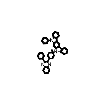 CC1(Nc2cc3c(cc2-c2ccccc2)c2ccccc2n3-c2ccccc2)C=CC(c2nc3ccccc3nc2-c2ccccc2)=CC1